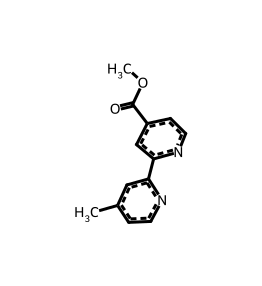 COC(=O)c1ccnc(-c2cc(C)ccn2)c1